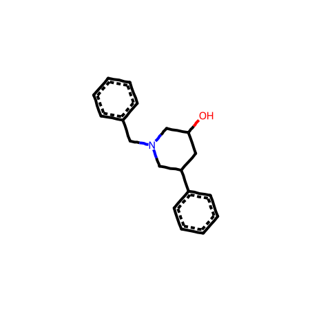 OC1CC(c2ccccc2)CN(Cc2ccccc2)C1